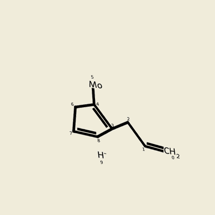 C=CCC1=[C]([Mo])CC=C1.[H-]